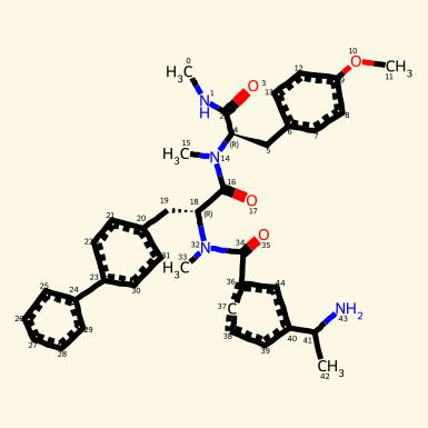 CNC(=O)[C@@H](Cc1ccc(OC)cc1)N(C)C(=O)[C@@H](Cc1ccc(-c2ccccc2)cc1)N(C)C(=O)c1cccc(C(C)N)c1